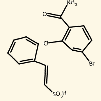 NC(=O)c1ccc(Br)cc1Cl.O=S(=O)(O)C=Cc1ccccc1